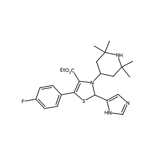 CCOC(=O)C1=C(c2ccc(F)cc2)SC(c2cnc[nH]2)N1C1CC(C)(C)NC(C)(C)C1